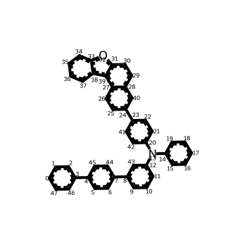 c1ccc(-c2ccc(-c3cccc(N(c4ccccc4)c4ccc(-c5ccc6c(ccc7oc8ccccc8c76)c5)cc4)c3)cc2)cc1